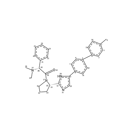 Cc1ccc(-c2ccc(-c3cnc([C@@H]4CCCN4C(=O)[C@@H](c4ccccc4)N(C)C)[nH]3)cc2)cc1